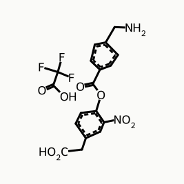 NCc1ccc(C(=O)Oc2ccc(CC(=O)O)cc2[N+](=O)[O-])cc1.O=C(O)C(F)(F)F